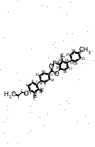 C=CCOc1ccc(-c2ccc(C(=O)Oc3ccc(-c4ccc(C)cc4)c(F)c3F)cc2)c(F)c1F